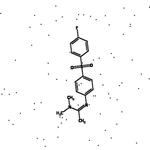 CC(=Nc1ccc(S(=O)(=O)c2ccc(F)cc2)cc1)N(C)C